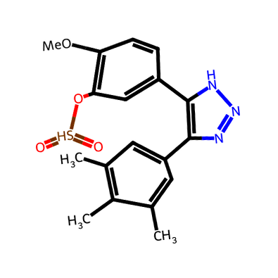 COc1ccc(-c2[nH]nnc2-c2cc(C)c(C)c(C)c2)cc1O[SH](=O)=O